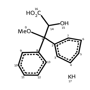 COC(c1ccccc1)(c1ccccc1)C(O)C(=O)O.[KH]